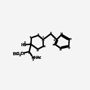 CCOC(=O)C(NC(C)=O)C1(S)CCN(Cc2ccccc2)CC1